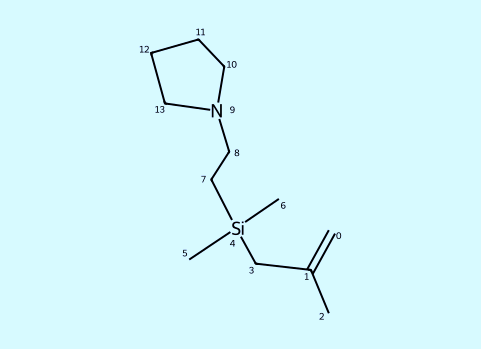 C=C(C)C[Si](C)(C)CCN1CCCC1